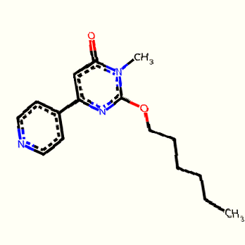 CCCCCCOc1nc(-c2ccncc2)cc(=O)n1C